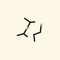 CCC[O-].C[CH](C)[Al+][CH](C)C